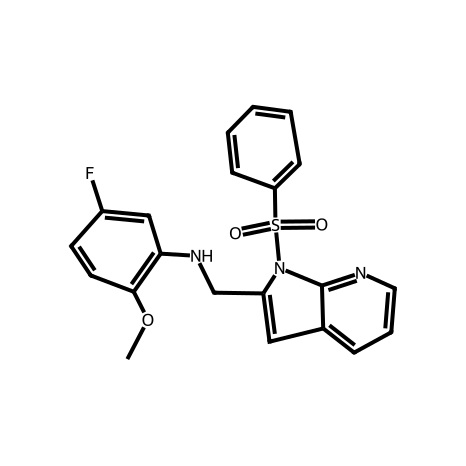 COc1ccc(F)cc1NCc1cc2cccnc2n1S(=O)(=O)c1ccccc1